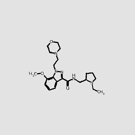 CCN1CCCC1CNC(=O)c1nn(CCN2CCOCC2)c2c(OC)cccc12